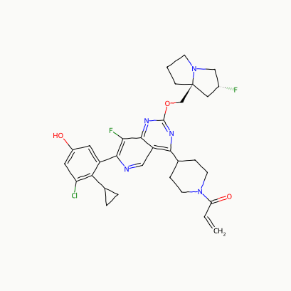 C=CC(=O)N1CCC(c2nc(OC[C@@]34CCCN3C[C@H](F)C4)nc3c(F)c(-c4cc(O)cc(Cl)c4C4CC4)ncc23)CC1